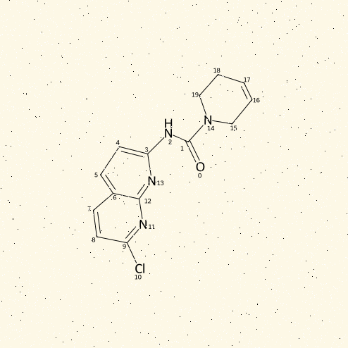 O=C(Nc1ccc2ccc(Cl)nc2n1)N1CC=CCC1